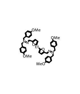 CCc1ccc(C=NN(Cc2ccc(OC)cc2)Cc2ccc(OC)cc2)o1.COc1ccc(CN(Cc2ccc(OC)cc2)N=Cc2ccco2)cc1